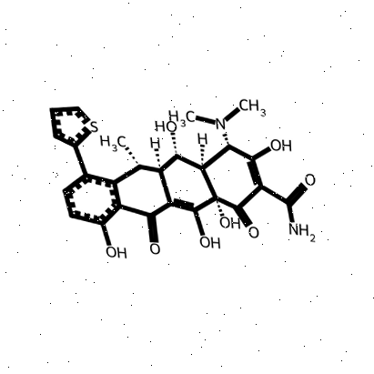 C[C@H]1c2c(-c3cccs3)ccc(O)c2C(=O)C2=C(O)[C@]3(O)C(=O)C(C(N)=O)=C(O)[C@@H](N(C)C)[C@@H]3[C@@H](O)[C@@H]21